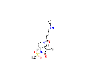 CC(C)[C@H]1C(=O)N(S(C)(=O)=O)[C@H]2CCN(C(=O)/C=C/CNC3CC3)[C@H]12